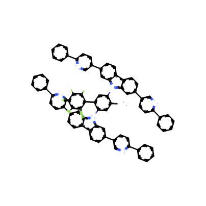 N#Cc1cc(-n2c3cc(-c4ccc(-c5ccccc5)nc4)ccc3c3ccc(-c4ccc(-c5ccccc5)nc4)cc32)c(-c2c(F)c(F)c(F)c(F)c2F)cc1-n1c2cc(-c3ccc(-c4ccccc4)nc3)ccc2c2ccc(-c3ccc(-c4ccccc4)nc3)cc21